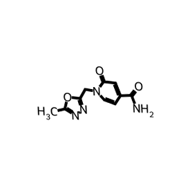 Cc1nnc(Cn2ccc(C(N)=O)cc2=O)o1